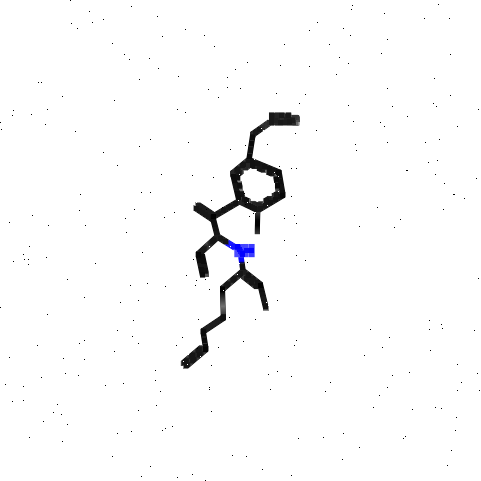 C=CCCC/C(=C\C)NC(C=C)C(=C)c1cc(CNC)ccc1C